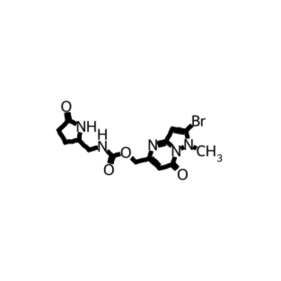 Cn1c(Br)cc2nc(COC(=O)NCC3CCC(=O)N3)cc(=O)n21